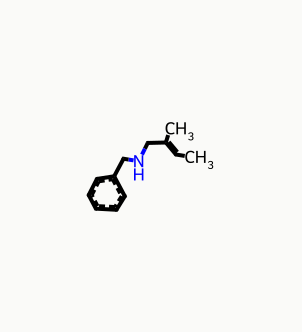 CC=C(C)CNCc1ccccc1